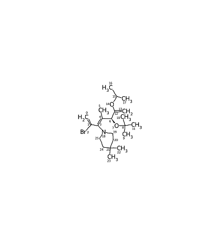 C=C(Br)/C(=C(\C)[C@H](OC(C)(C)C)C(=C)OC(C)C)N1CCC(C)(C)CC1